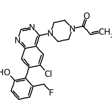 C=CC(=O)N1CCN(c2ncnc3cc(-c4c(O)cccc4CF)c(Cl)cc23)CC1